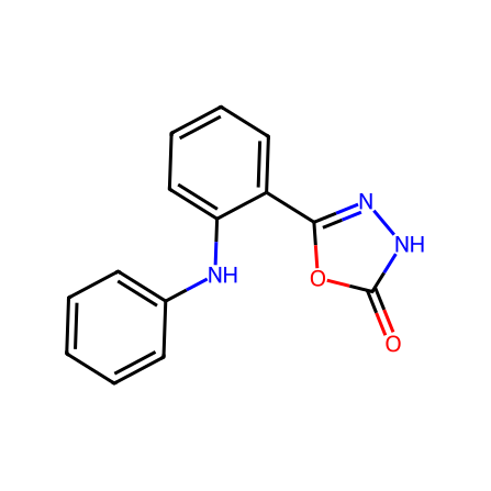 O=c1[nH]nc(-c2ccccc2Nc2ccccc2)o1